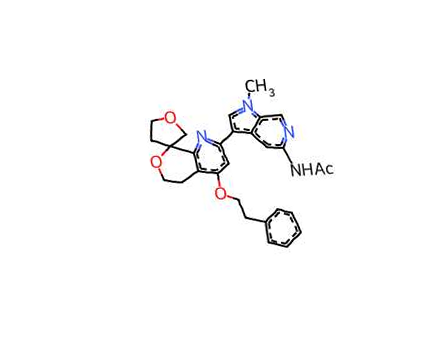 CC(=O)Nc1cc2c(-c3cc(OCCc4ccccc4)c4c(n3)C3(CCOC3)OCC4)cn(C)c2cn1